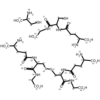 NC(CCC(=O)NC(CS)C(=O)NCC(=O)O)C(=O)O.NC(CCC(=O)NC(CSSCC(NC(=O)CCC(N)C(=O)O)C(=O)NCC(=O)O)C(=O)NCC(=O)O)C(=O)O.NC(CS)C(=O)O